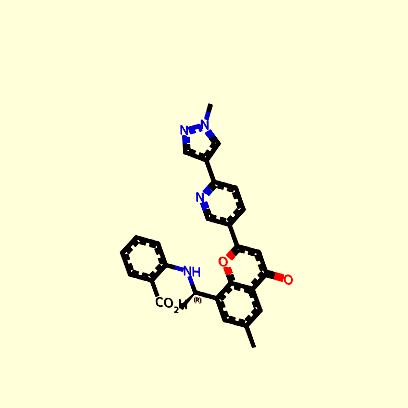 Cc1cc([C@@H](C)Nc2ccccc2C(=O)O)c2oc(-c3ccc(-c4cnn(C)c4)nc3)cc(=O)c2c1